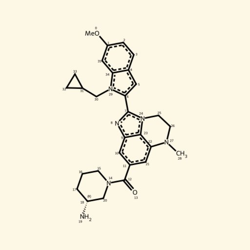 COc1ccc2cc(-c3nc4cc(C(=O)N5CCC[C@@H](N)C5)cc5c4n3CCN5C)n(CC3CC3)c2c1